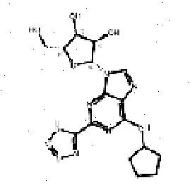 OC[C@H]1O[C@@H](n2cnc3c(NC4CCCC4)nc(-c4nnn[nH]4)nc32)[C@H](O)[C@@H]1O